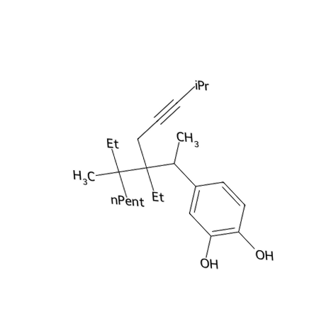 CCCCCC(C)(CC)C(CC)(CC#CC(C)C)C(C)c1ccc(O)c(O)c1